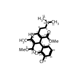 COC(=O)C1=C(C)NC(CCN(C)C)=C(C(=O)OC)C1c1cccc(Cl)c1Cl